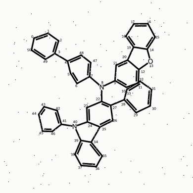 c1ccc(-c2ccc(N(c3ccc4oc5ccccc5c4c3)c3cc4c(cc3-c3ccccc3)c3ccccc3n4-c3ccccc3)cc2)cc1